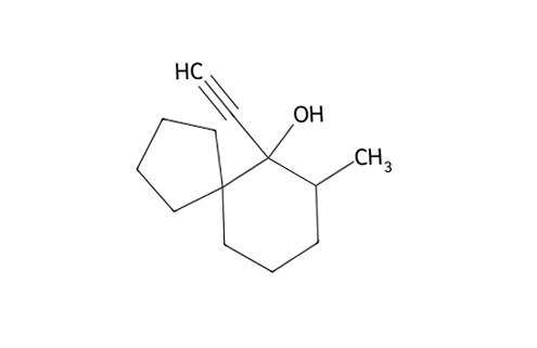 C#CC1(O)C(C)CCCC12CCCC2